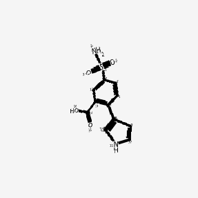 NS(=O)(=O)c1ccc(-c2cc[nH]c2)c(C(=O)O)c1